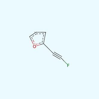 FC#Cc1c[c]co1